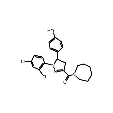 O=C(C1=NN(c2ccc(Cl)cc2Cl)C(c2ccc(O)cc2)C1)N1CCCCCC1